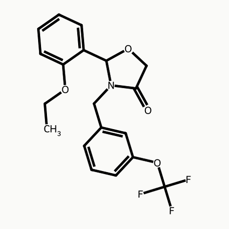 CCOc1ccccc1C1OCC(=O)N1Cc1cccc(OC(F)(F)F)c1